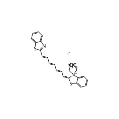 CC[N+]1(CC)C(=CC=CC=CC=Cc2nc3ccccc3s2)Sc2ccccc21.[I-]